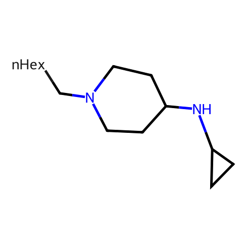 CCCCCCCN1CCC(NC2CC2)CC1